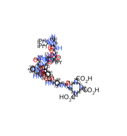 CC(C)CC(CC(C)C)NC(=O)[C@H](Cc1cnc[nH]1)NC(=O)CNC(=O)[C@@H](NC(=O)[C@H](C)NC(=O)[C@H](Cc1c[nH]c2ccccc12)NC(=O)[C@H](CCC(N)=O)NC(=O)[C@@H](Cc1ccccc1)NC(=O)COCC(=O)Nc1ccc(CNC(=O)CN2CCN(CC(=O)O)CCN(CC(=O)O)CCN(CC(=O)O)CC2)cc1)C(C)C